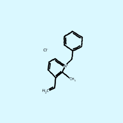 C=Cc1ccc[n+](Cc2ccccc2)c1C.[Cl-]